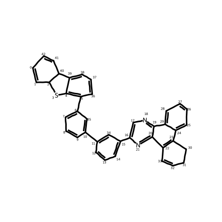 C1=CC2Sc3c(-c4cccc(-c5cccc(-c6cnc7c(n6)c6c(c8ccccc87)CCC=C6)c5)c4)cccc3C2C=C1